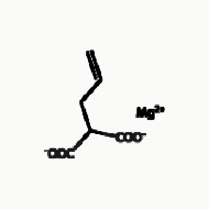 C=CCC(C(=O)[O-])C(=O)[O-].[Mg+2]